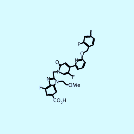 COCCn1c(Cn2cc(F)c(-c3cccc(OCc4ccc(C)cc4F)n3)cc2=O)nc2c(F)cc(C(=O)O)cc21